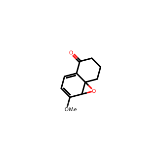 COC1=CC=C2C(=O)CCCC23OC13